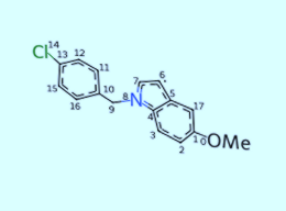 COc1ccc2c([c]cn2Cc2ccc(Cl)cc2)c1